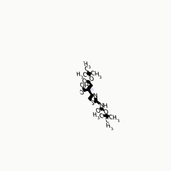 CC(C)(C)OC(=O)/C=C(\C(=O)O)c1csc(NC(=O)OC(C)(C)C)n1